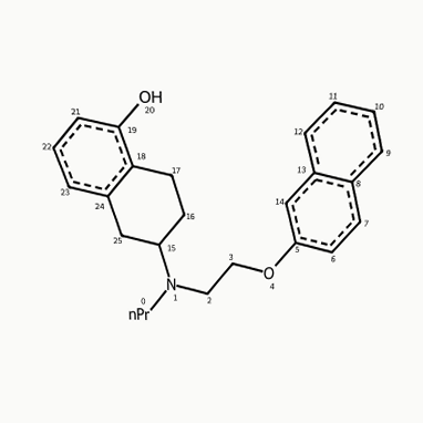 CCCN(CCOc1ccc2ccccc2c1)C1CCc2c(O)cccc2C1